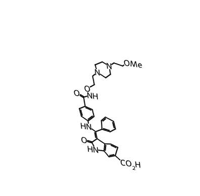 COCCN1CCN(CCONC(=O)c2ccc(N/C(=C3\C(=O)Nc4cc(C(=O)O)ccc43)c3ccccc3)cc2)CC1